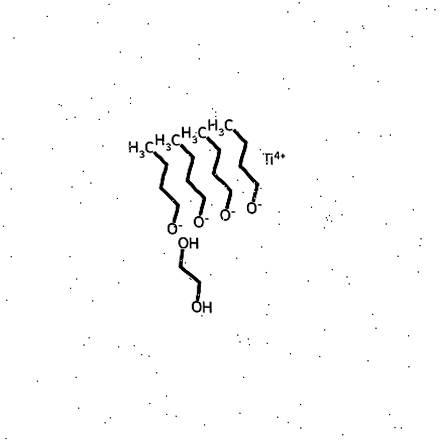 CCCC[O-].CCCC[O-].CCCC[O-].CCCC[O-].OCCO.[Ti+4]